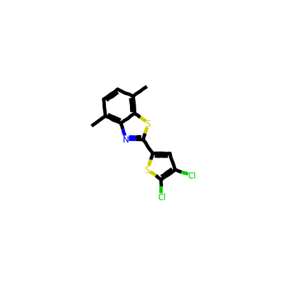 Cc1ccc(C)c2sc(-c3cc(Cl)c(Cl)s3)nc12